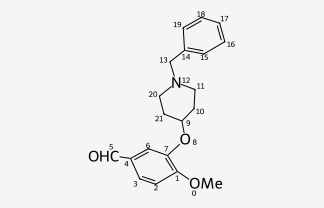 COc1ccc(C=O)cc1OC1CCN(Cc2ccccc2)CC1